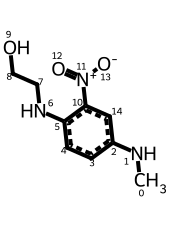 CNc1ccc(NCCO)c([N+](=O)[O-])c1